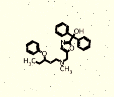 CCC(CCN(C)Cc1cnc(C(O)(c2ccccc2)c2ccccc2)o1)Oc1ccccc1